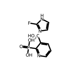 Fc1ncc[nH]1.O=C(O)c1cccnc1P(=O)(O)O